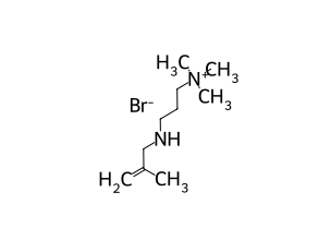 C=C(C)CNCCC[N+](C)(C)C.[Br-]